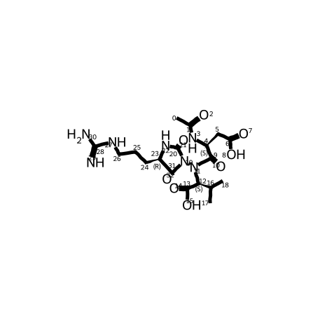 CC(=O)N[C@@H](CC(=O)O)C(=O)N([C@H](C(=O)O)C(C)C)N1C(=O)N[C@H](CCCNC(=N)N)C1=O